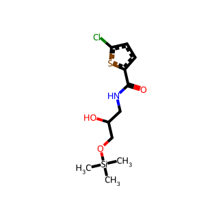 C[Si](C)(C)OCC(O)CNC(=O)c1ccc(Cl)s1